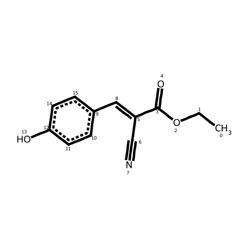 CCOC(=O)/C(C#N)=C/c1ccc(O)cc1